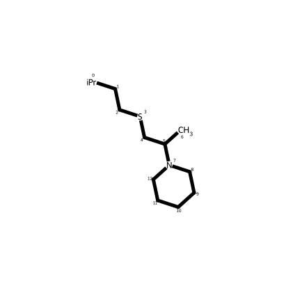 CC(C)CCSCC(C)N1CCCCC1